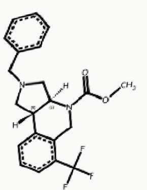 COC(=O)N1Cc2c(cccc2C(F)(F)F)[C@@H]2CN(Cc3ccccc3)C[C@H]21